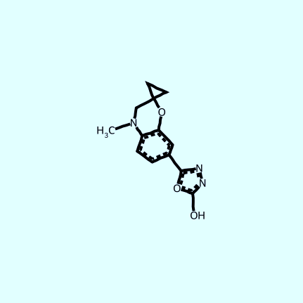 CN1CC2(CC2)Oc2cc(-c3nnc(O)o3)ccc21